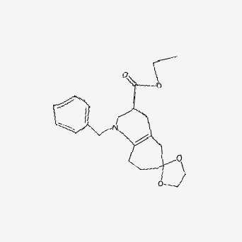 CCOC(=O)C1CC2=C(CCC3(C2)OCCO3)N(Cc2ccccc2)C1